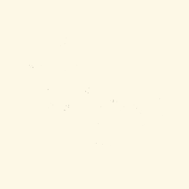 COc1ccccc1-c1cnn2ccc(NC(c3ccco3)c3ccco3)nc12